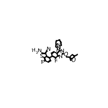 CC12CC(COc3nc(N4CC5CCC(C4)N5)c4ccc(-c5ccc(F)c6sc(N)c(C#N)c56)c(F)c4n3)(CO1)C2